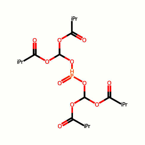 CC(C)C(=O)OC(OC(=O)C(C)C)O[PH](=O)OC(OC(=O)C(C)C)OC(=O)C(C)C